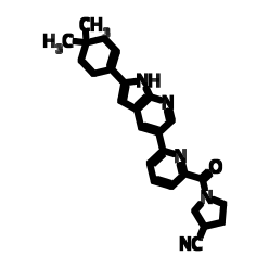 CC1(C)CC=C(c2cc3cc(-c4cccc(C(=O)N5CCC(C#N)C5)n4)cnc3[nH]2)CC1